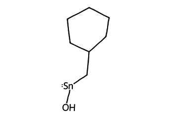 [OH][Sn][CH2]C1CCCCC1